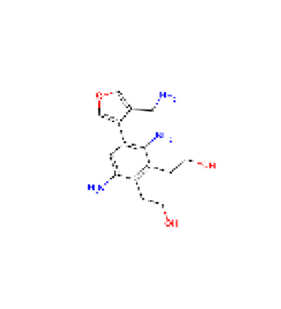 NCc1cocc1-c1cc(N)c(CCO)c(CCO)c1N